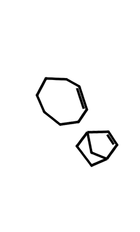 C1=CC2CCC1C2.C1=CCCCCCC1